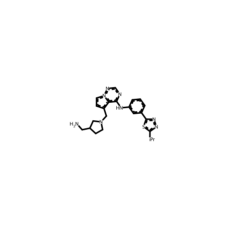 CC(C)c1nnc(-c2cccc(Nc3ncnn4ccc(CN5CCC(CN)C5)c34)c2)s1